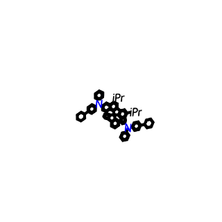 CC(C)c1cc2c(c3ccc(N(c4ccccc4)c4ccc(C5CCCCC5)cc4)cc13)C1(c3ccccc3-c3ccccc31)c1c-2cc(C(C)C)c2cc(N(c3ccccc3)c3ccc(C4CCCCC4)cc3)ccc12